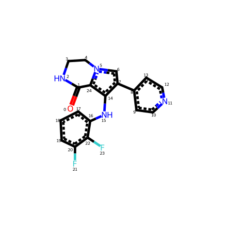 O=C1NCCn2cc(-c3ccncc3)c(Nc3cccc(F)c3F)c21